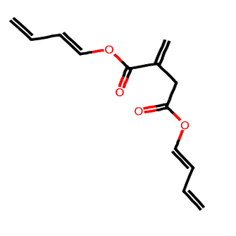 C=CC=COC(=O)CC(=C)C(=O)OC=CC=C